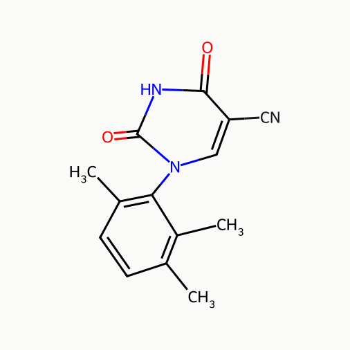 Cc1ccc(C)c(-n2cc(C#N)c(=O)[nH]c2=O)c1C